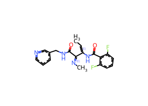 C/C=C(NC(=O)c1c(F)cccc1F)\C(=N/C)C(=O)NCc1cccnc1